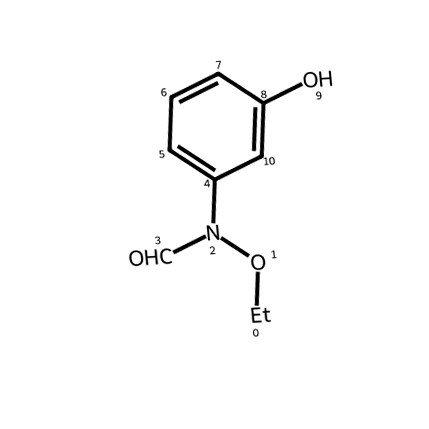 CCON(C=O)c1cccc(O)c1